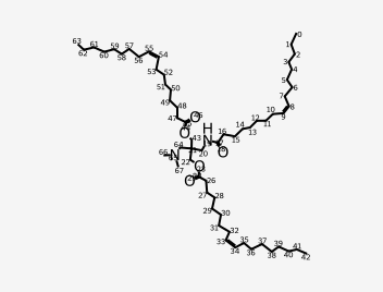 CCCCCCCC/C=C\CCCCCCCC(=O)NCC(COC(=O)CCCCCCC/C=C\CCCCCCCC)(COC(=O)CCCCCCC/C=C\CCCCCCCC)CN(C)C